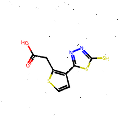 O=C(O)Cc1sccc1-c1nnc(S)s1